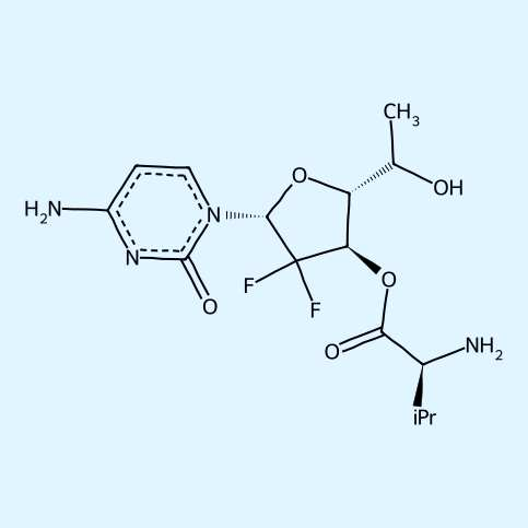 CC(C)[C@H](N)C(=O)O[C@@H]1[C@@H](C(C)O)O[C@@H](n2ccc(N)nc2=O)C1(F)F